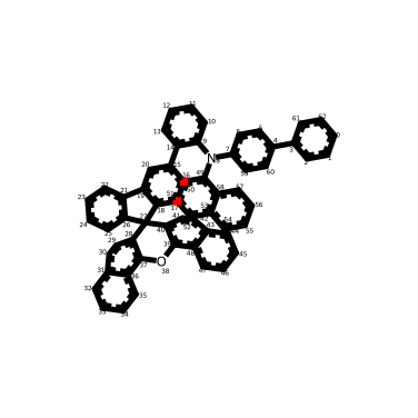 c1ccc(-c2ccc(N(c3ccccc3-c3ccc4c(c3)-c3ccccc3C43c4ccc5ccccc5c4Oc4c3ccc3ccccc43)c3cccc4ccccc34)cc2)cc1